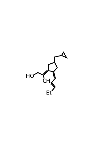 CC/C=C/C=C1/CC(CC2CC2)C/C1=C(/C)CO